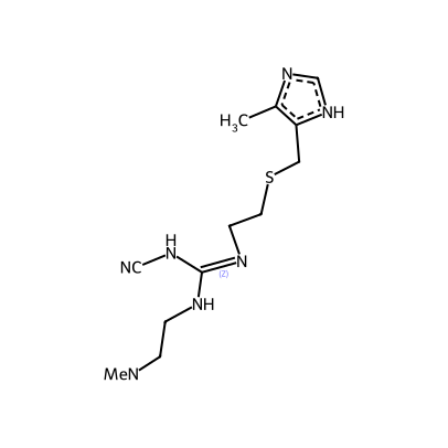 CNCCN/C(=N/CCSCc1[nH]cnc1C)NC#N